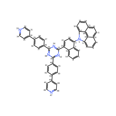 c1ccc2c(-n3c4cccc5ccc6cccc3c6c54)ccc(-c3nc(-c4ccc(-c5ccncc5)cc4)nc(-c4ccc(-c5ccncc5)cc4)n3)c2c1